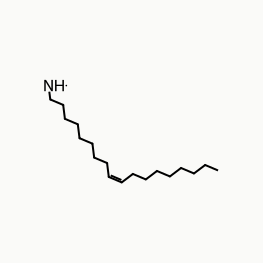 CCCCCCCC/C=C\CCCCCCCC[NH]